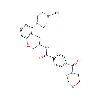 CN1CCN(c2cccc3c2CC(NC(=O)c2ccc(C(=O)N4CCOCC4)cc2)CO3)CC1